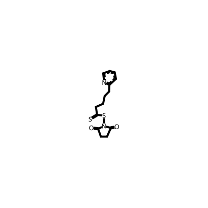 O=C1CCC(=O)N1SC(=S)CCCCc1ccccn1